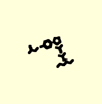 C1CCOC1.CC(C)=O.CC(C)O.CCC(C)=O.CCCCCC.Cc1ccccc1